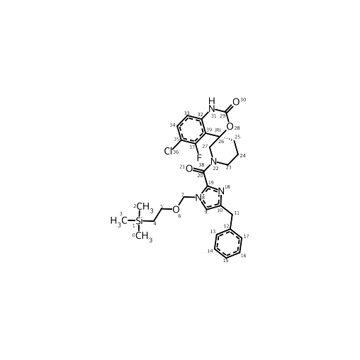 C[Si](C)(C)CCOCn1cc(Cc2ccccc2)nc1C(=O)N1CCC[C@@]2(C1)OC(=O)Nc1ccc(Cl)c(F)c12